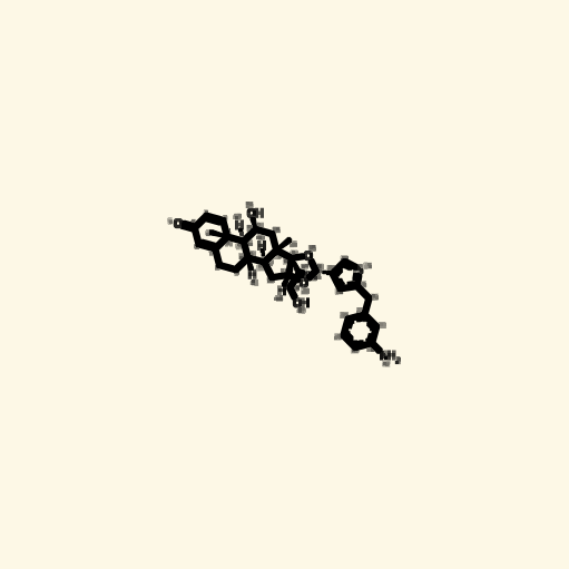 C[C@]12C=CC(=O)C=C1CC[C@@H]1[C@@H]2[C@@H](O)C[C@@]2(C)[C@H]1C[C@H]1O[C@@H](c3csc(Cc4cccc(N)c4)c3)O[C@]12C(=O)CO